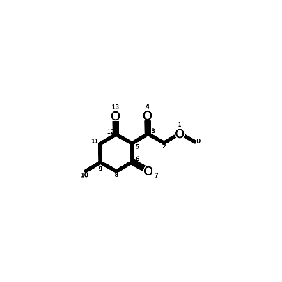 COCC(=O)C1C(=O)CC(C)CC1=O